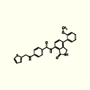 COc1ccccc1-c1ccc(NC(=O)c2ccc(NCc3cccs3)cc2)c2c1CNC2=O